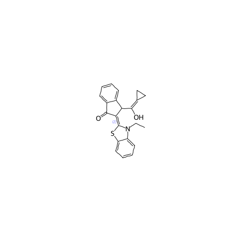 CCN1/C(=C2/C(=O)c3ccccc3C2C(O)=C2CC2)Sc2ccccc21